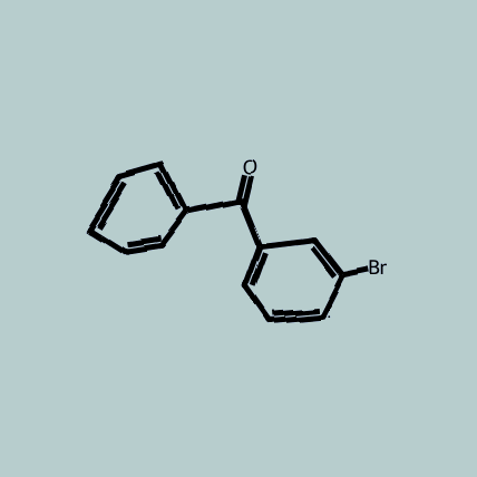 O=C(c1ccccc1)c1cc[c]c(Br)c1